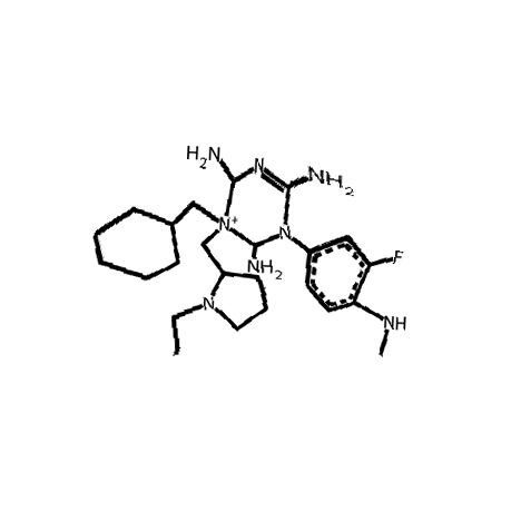 CCN1CCCC1C[N+]1(CC2CCCCC2)C(N)N=C(N)N(c2ccc(NC)c(F)c2)C1N